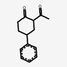 CC(=O)C1CC(c2ccccc2)CCC1=O